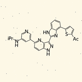 CC(=O)c1ccc(-c2cccc3[nH]c(-c4n[nH]c5ccc(-c6cncc(NC(C)C)c6)nc45)nc23)s1